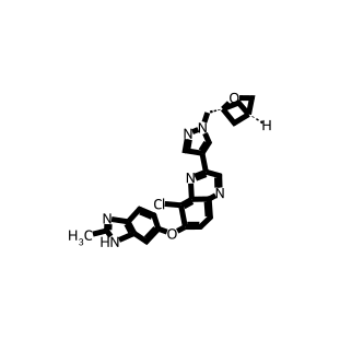 Cc1nc2ccc(Oc3ccc4ncc(-c5cnn(C[C@]67C[C@H](CO6)C7)c5)nc4c3Cl)cc2[nH]1